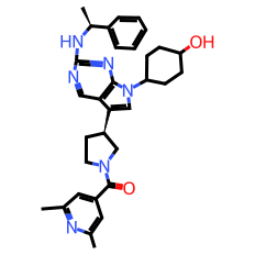 Cc1cc(C(=O)N2CC[C@@H](c3cn(C4CCC(O)CC4)c4nc(N[C@@H](C)c5ccccc5)ncc34)C2)cc(C)n1